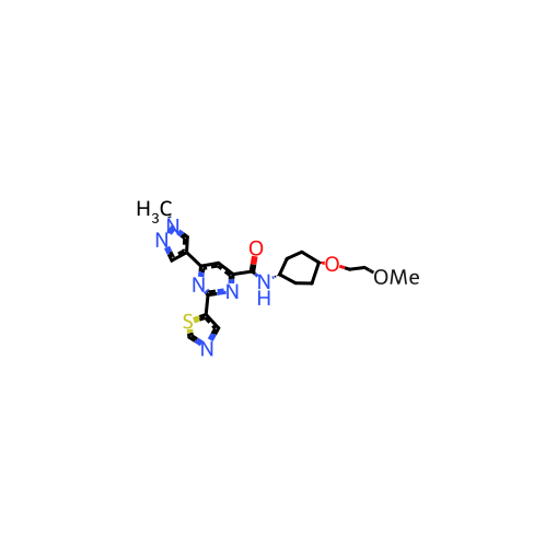 COCCO[C@H]1CC[C@H](NC(=O)c2cc(-c3cnn(C)c3)nc(-c3cncs3)n2)CC1